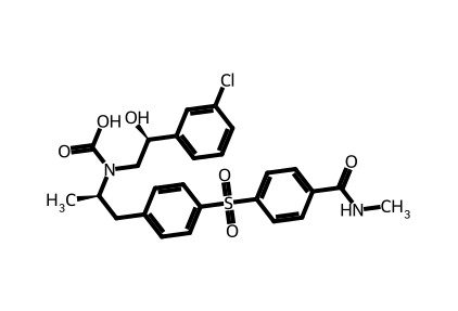 CNC(=O)c1ccc(S(=O)(=O)c2ccc(C[C@@H](C)N(C[C@@H](O)c3cccc(Cl)c3)C(=O)O)cc2)cc1